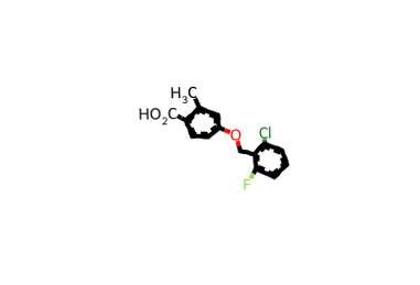 Cc1cc(OCc2c(F)cccc2Cl)ccc1C(=O)O